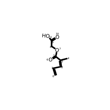 C=CC=C(C)C(=O)OCC(=O)O